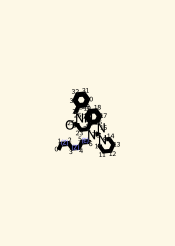 C\C=C/C=C\C=C\N1C(N2CCCCC2)=Nc2ccccc2C1CC(=O)NCc1ccccc1